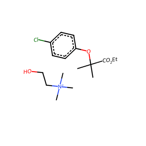 CCOC(=O)C(C)(C)Oc1ccc(Cl)cc1.C[N+](C)(C)CCO